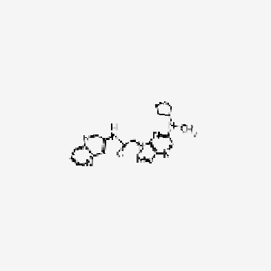 CN(c1cnc2cnn(CC(=O)Nc3cnc4cccnc4c3)c2n1)C1CCCC1